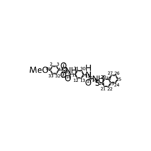 COc1ccc(S(=O)(=O)NC(=O)c2ccc(NC(=O)NSc3ccc4ccccc4c3)cc2)cc1